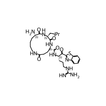 CC(C)C[C@@H]1NC(=O)[C@@H](N)CCCCNC(=O)CC[C@@H](C(=O)N[C@@H](CCCNC(=N)N)C(=O)c2nc3ccccc3s2)NC1=O